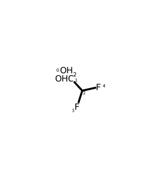 O.O=CC(F)F